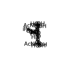 CC(=O)NC1C(OCCOCCNC(=O)CCC(NC(=O)CCCNC(=O)CCCC(=O)C(C)C)C(=O)NCCOCCOC2OC(CO)C(O)C(O)C2NC(C)=O)OC(CO)C(O)C1O